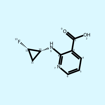 O=C(O)c1cccnc1N[C@@H]1C[C@@H]1F